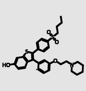 CCCCS(=O)(=O)c1ccc(-c2sc3cc(O)ccc3c2-c2[c]ccc(OCCN3CCCCC3)c2)cc1